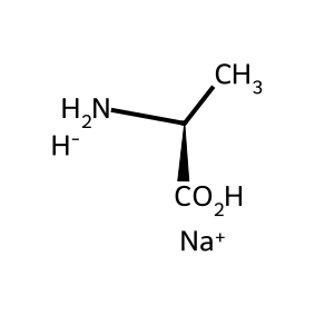 C[C@H](N)C(=O)O.[H-].[Na+]